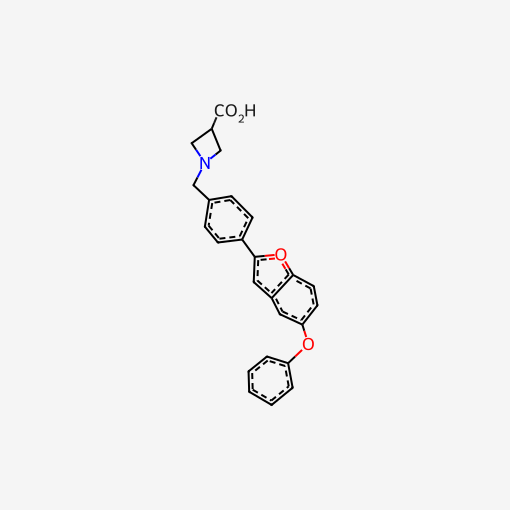 O=C(O)C1CN(Cc2ccc(-c3cc4cc(Oc5ccccc5)ccc4o3)cc2)C1